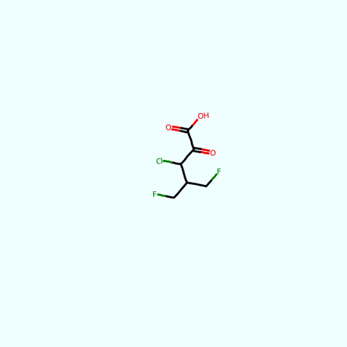 O=C(O)C(=O)C(Cl)C(CF)CF